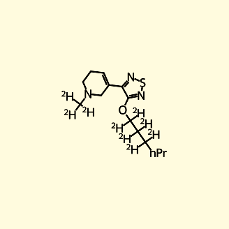 [2H]C([2H])([2H])N1CCC=C(c2nsnc2OC([2H])([2H])C([2H])([2H])C([2H])([2H])CCC)C1